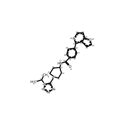 CC(C)n1nnnc1N1CCC(NC(=O)c2ccc(-c3nccc4occc34)cc2)CC1